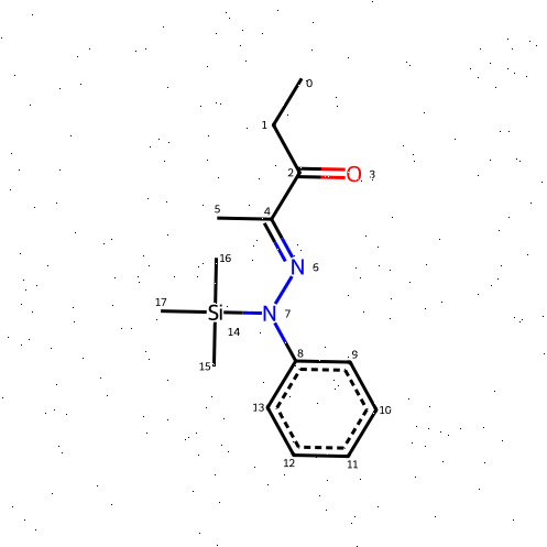 CCC(=O)C(C)=NN(c1ccccc1)[Si](C)(C)C